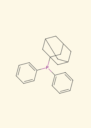 c1ccc(P(c2ccccc2)C23CC4CC(CC(C4)C2)C3)cc1